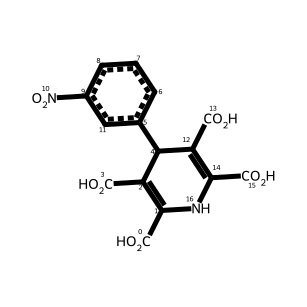 O=C(O)C1=C(C(=O)O)C(c2cccc([N+](=O)[O-])c2)C(C(=O)O)=C(C(=O)O)N1